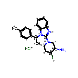 C[C@@H](c1ccc(C#N)cc1)n1c(N2CC[C@H](F)[C@H](N)C2)nc2ccccc21.Cl